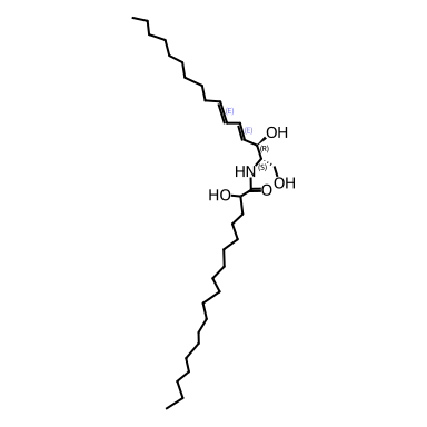 CCCCCCCCC/C=C/C=C/[C@@H](O)[C@H](CO)NC(=O)C(O)CCCCCCCCCCCCCCCC